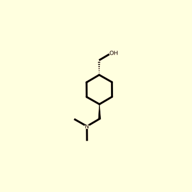 CN(C)C[C@H]1CC[C@H](CO)CC1